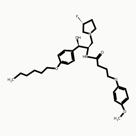 CCCCCCOc1ccc([C@@H](O)[C@@H](CN2CC[C@@H](F)C2)NC(=O)CCCOc2ccc(OC)cc2)cc1